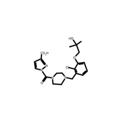 CC(C)(O)COc1cccc(CN2CCN(C(=O)n3ccc(C(=O)O)n3)CC2)c1Cl